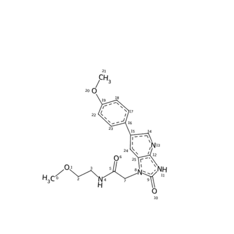 COCCNC(=O)Cn1c(=O)[nH]c2ncc(-c3ccc(OC)cc3)cc21